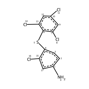 Nc1ccc(Sc2c(Cl)cc(Cl)cc2Cl)c(Cl)c1